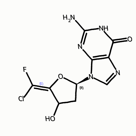 Nc1nc2c(ncn2[C@H]2CC(O)/C(=C(/F)Cl)O2)c(=O)[nH]1